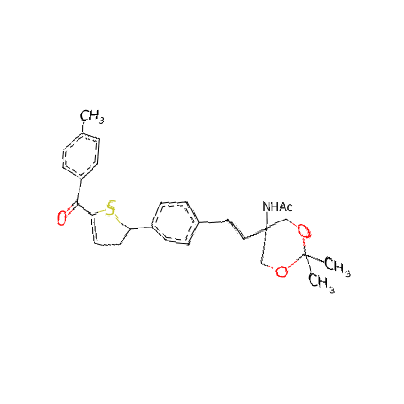 CC(=O)NC1(CCc2ccc(C3CC=C(C(=O)c4ccc(C)cc4)S3)cc2)COC(C)(C)OC1